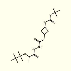 CC(O[Si](C)(C)C(C)(C)C)C(=O)NNC(=O)CC1CC(NC(=O)OC(C)(C)C)C1